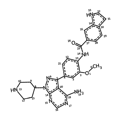 COc1cc(-c2nn(C3CCNCC3)c3ncnc(N)c23)ccc1NC(=O)c1ccc2cc[nH]c2c1